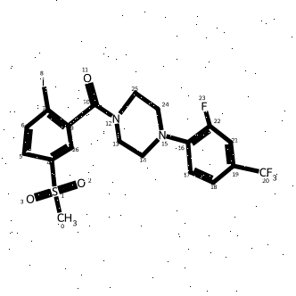 CS(=O)(=O)c1ccc(I)c(C(=O)N2CCN(c3ccc(C(F)(F)F)cc3F)CC2)c1